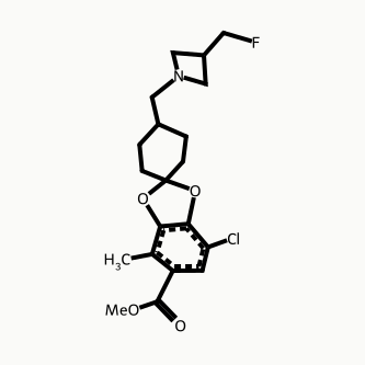 COC(=O)c1cc(Cl)c2c(c1C)OC1(CCC(CN3CC(CF)C3)CC1)O2